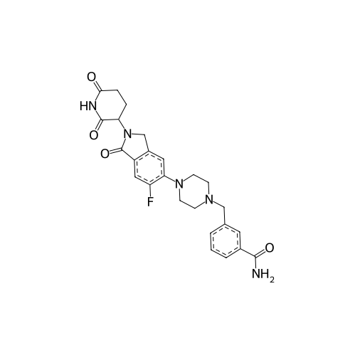 NC(=O)c1cccc(CN2CCN(c3cc4c(cc3F)C(=O)N(C3CCC(=O)NC3=O)C4)CC2)c1